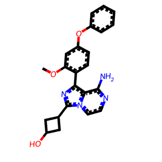 COc1cc(Oc2ccccc2)ccc1-c1nc(C2CC(O)C2)n2ccnc(N)c12